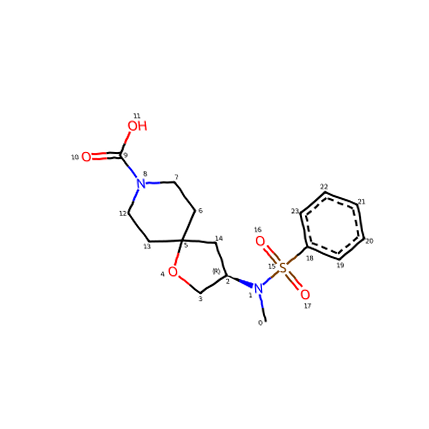 CN([C@H]1COC2(CCN(C(=O)O)CC2)C1)S(=O)(=O)c1ccccc1